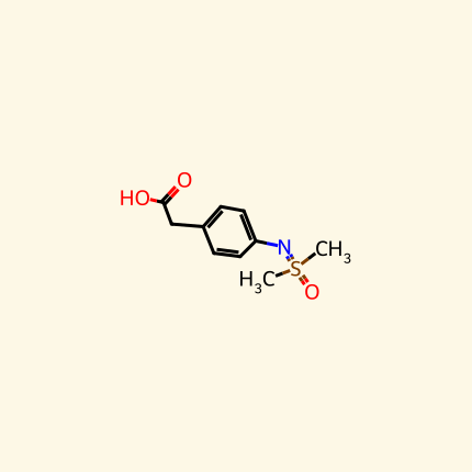 CS(C)(=O)=Nc1ccc(CC(=O)O)cc1